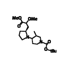 COC(=O)C(C[C@@H]1CCCN1C1CCN(C(=O)OC(C)(C)C)CC1C)OC